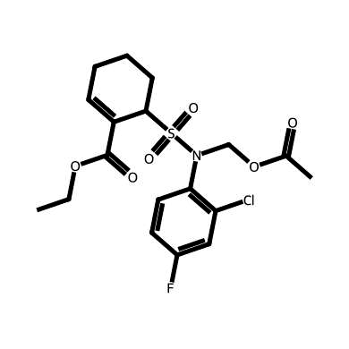 CCOC(=O)C1=CCCCC1S(=O)(=O)N(COC(C)=O)c1ccc(F)cc1Cl